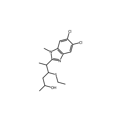 CCSC(CC(C)O)C(C)c1nc2cc(Cl)c(Cl)cc2n1C